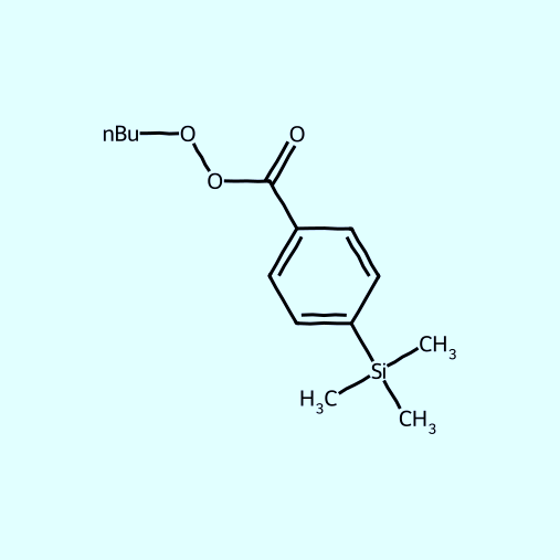 [CH2]CCCOOC(=O)c1ccc([Si](C)(C)C)cc1